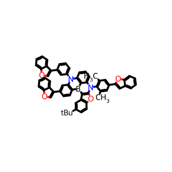 Cc1cc(-c2cc3ccccc3o2)cc(C)c1N1c2cccc3c2B(c2ccc(-c4coc5ccccc45)cc2N3c2cccc(-c3coc4ccccc34)c2)c2c1oc1ccc(C(C)(C)C)cc21